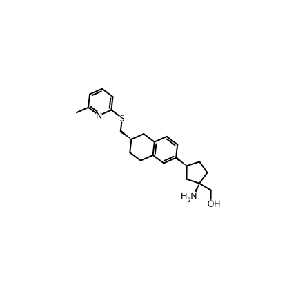 Cc1cccc(SC[C@@H]2CCc3cc([C@H]4CC[C@](N)(CO)C4)ccc3C2)n1